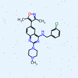 Cc1noc(C)c1-c1ccc2nc(N3CCN(C)CC3)nc(NCc3cccc(Cl)c3)c2c1